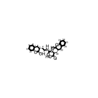 O=C(NCC[C@@H](Cc1ccccc1)C(=O)O)N[C@@H](C[C@@H](Cc1ccccc1)C(=O)O)C(=O)O